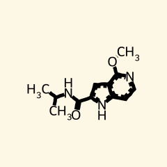 COc1nccc2[nH]c(C(=O)NC(C)C)cc12